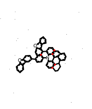 c1ccc(N(c2ccc(-c3ccc4oc5ccccc5c4c3)cc2)c2ccccc2-c2cccc3oc4ccccc4c23)c(-c2cccc3cccc(C4CCCCC4)c23)c1